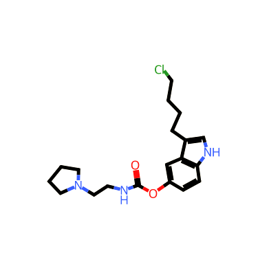 O=C(NCCN1CCCC1)Oc1ccc2[nH]cc(CCCCCl)c2c1